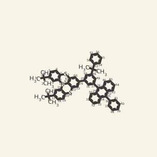 CC(C)(C)c1ccc2c(c1)B1c3cc(C(C)(C)C)ccc3Sc3cc(-c4cc(-c5c6ccccc6c(-c6ccccc6)c6ccccc56)cc(C(C)(C)c5ccccc5)c4)cc(c31)S2